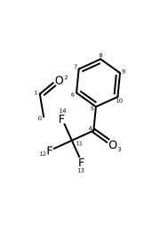 CC=O.O=C(c1ccccc1)C(F)(F)F